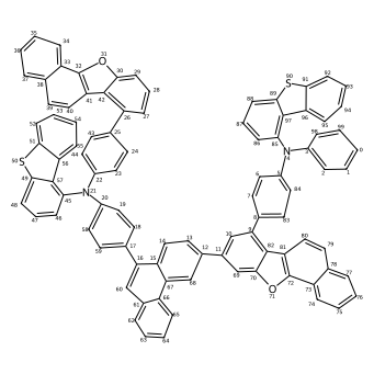 c1ccc(N(c2ccc(-c3cc(-c4ccc5c(-c6ccc(N(c7ccc(-c8cccc9oc%10c%11ccccc%11ccc%10c89)cc7)c7cccc8sc9ccccc9c78)cc6)cc6ccccc6c5c4)cc4oc5c6ccccc6ccc5c34)cc2)c2cccc3sc4ccccc4c23)cc1